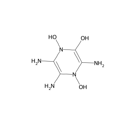 NC1=C(N)N(O)C(O)=C(N)N1O